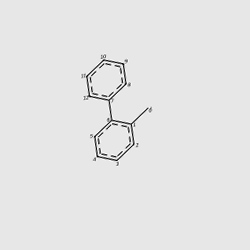 [CH2]c1ccccc1-c1ccccc1